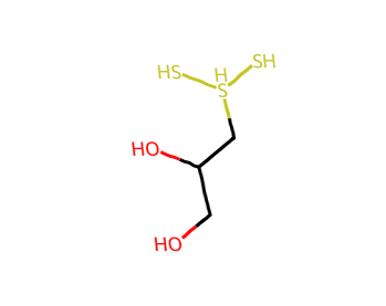 OCC(O)C[SH](S)S